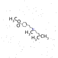 CCOC(=O)C1CC=C(CC/C=C(\C)CCC=C(C)C)CC1